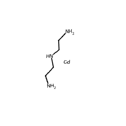 NCCNCCN.[Gd]